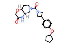 O=C1CO[C@H]2CCN(C(=O)N3CC(c4ccc(OC5CCCC5)cc4)C3)C[C@H]2N1